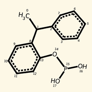 CC(c1ccccc1)c1ccccc1OP(O)O